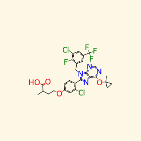 CC(CCOc1ccc(-c2nc3c(OC4(C)CC4)ncnc3n2Cc2cc(C(F)(F)F)cc(Cl)c2F)c(Cl)c1)C(=O)O